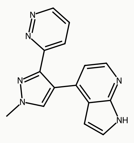 Cn1cc(-c2ccnc3[nH]ccc23)c(-c2cccnn2)n1